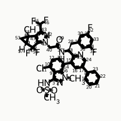 Cn1nc(NS(C)(=O)=O)c2c(Cl)ccc(-c3cc(-c4ccccc4)cnc3[C@H](Cc3cc(F)cc(F)c3)NC(=O)Cn3nc(C(F)F)c4c3C(F)(F)[C@@H]3C[C@]43C)c21